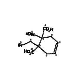 CCCCCCCCCCC1(C(=O)O)CC=CCC1(CC(C)C)C(=O)O